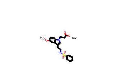 COc1ccc2c(c1)c(CCNS(=O)(=O)c1ccccc1)cn2CCC(=O)[O-].[Na+]